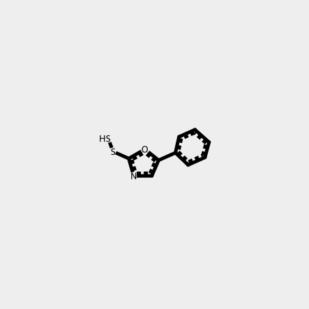 SSc1ncc(-c2ccccc2)o1